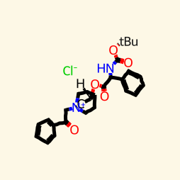 CC(C)(C)OC(=O)NC(C(=O)O[C@H]1C[N+]2(CC(=O)c3ccccc3)CCC1CC2)c1ccccc1.[Cl-]